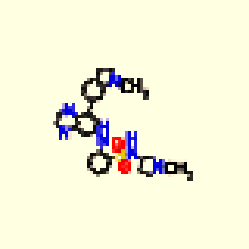 CN1CCC(NS(=O)(=O)c2ccccc2Nc2cc(-c3ccc4ccn(C)c4c3)c3nccnc3c2)C1